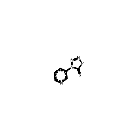 S=C1[N]N=NN1c1cccnc1